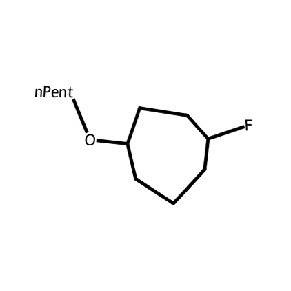 CCCCCOC1CCCC(F)CC1